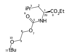 CCOC(=O)[C@H](CC(C)C)NC(=O)OCCOC(C)(C)C